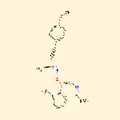 CN/C(=N/OC)c1cccc(C)c1CO/N=C(\C)C#Cc1ccc(OC(F)(F)F)cc1